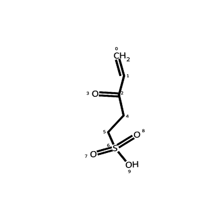 C=CC(=O)CCS(=O)(=O)O